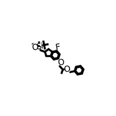 CO[Si](C)(CC1Cc2cc(OCC(C)OCc3ccccc3)cc(F)c2C1)C(C)(C)C